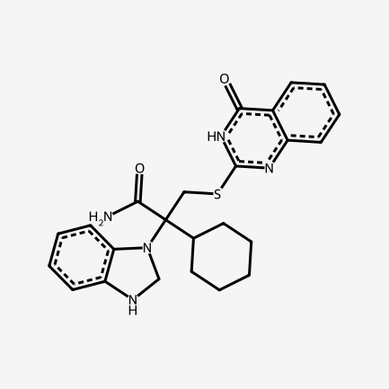 NC(=O)C(CSc1nc2ccccc2c(=O)[nH]1)(C1CCCCC1)N1CNc2ccccc21